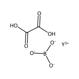 O=C(O)C(=O)O.[O-]B([O-])[O-].[Y+3]